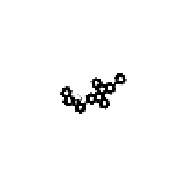 c1ccc(-c2ccc3c(c2)c2ccccc2c2c4ccc(-c5cccc6c5oc5c7ccccc7ccc65)cc4c4ccccc4c32)cc1